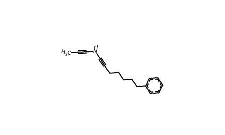 CC#CNC#CCCCCCc1ccccc1